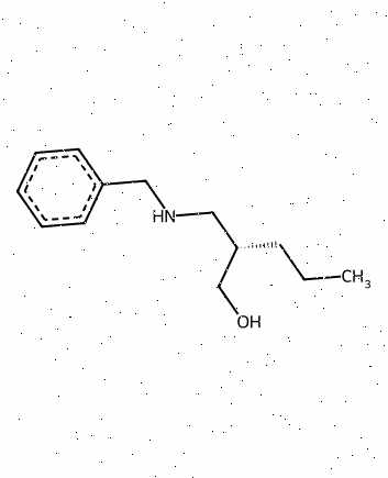 CCC[C@H](CO)CNCc1ccccc1